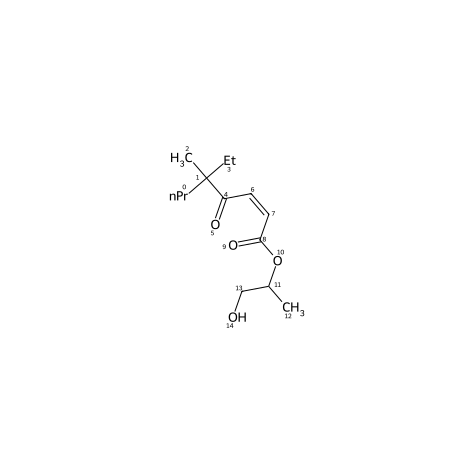 CCCC(C)(CC)C(=O)/C=C\C(=O)OC(C)CO